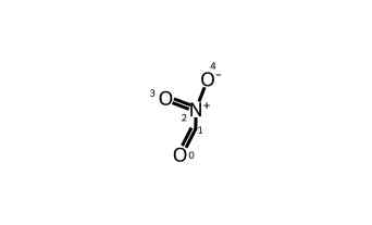 O=C[N+](=O)[O-]